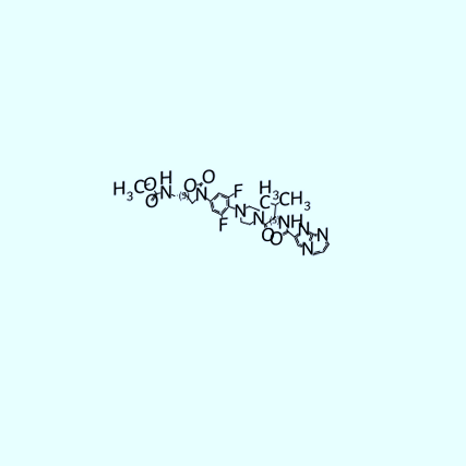 COC(=O)NC[C@H]1CN(c2cc(F)c(N3CCN(C(=O)[C@@H](NC(=O)c4cn5cccnc5n4)C(C)C)CC3)c(F)c2)C(=O)O1